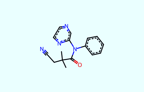 CC(C)(CC#N)C(=O)N(c1ccccc1)c1cnccn1